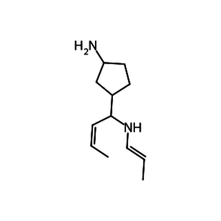 C/C=C\C(N/C=C/C)C1CCC(N)C1